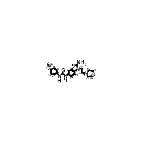 NC1Sc2cc(NC(=O)Nc3ccc(OC(F)(F)F)cc3)ccc2N1CCN1CCOCC1